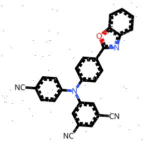 N#Cc1ccc(N(c2ccc(-c3nc4ccccc4o3)cc2)c2cc(C#N)cc(C#N)c2)cc1